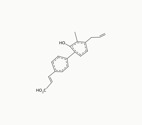 C=CCc1ccc(-c2ccc(/C=C/C(=O)O)cc2)c(O)c1C